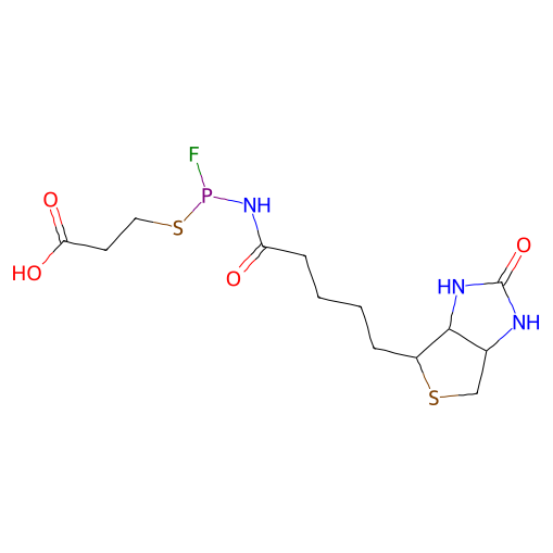 O=C(O)CCSP(F)NC(=O)CCCCC1SCC2NC(=O)NC21